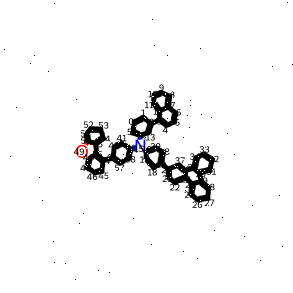 c1cc(-c2cccc3ccccc23)cc(N(c2ccc(-c3ccc4c5ccccc5c5ccccc5c4c3)cc2)c2ccc(-c3cccc4oc5ccccc5c34)cc2)c1